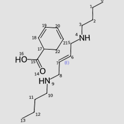 CCCCNC/C=C/CNCCCC.O=C(O)C1C=CC=CC1